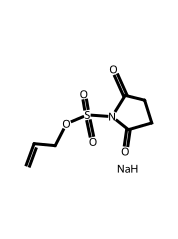 C=CCOS(=O)(=O)N1C(=O)CCC1=O.[NaH]